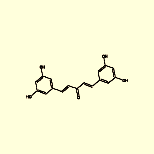 O=C(C=Cc1cc(O)cc(O)c1)C=Cc1cc(O)cc(O)c1